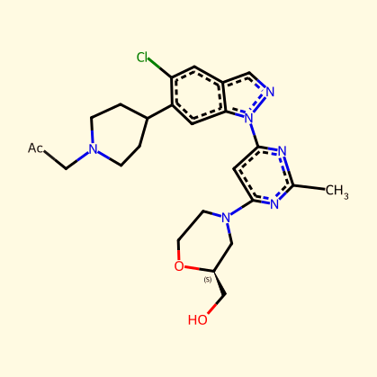 CC(=O)CN1CCC(c2cc3c(cnn3-c3cc(N4CCO[C@H](CO)C4)nc(C)n3)cc2Cl)CC1